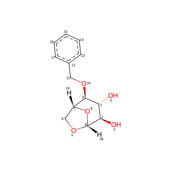 O[C@@H]1[C@@H](O)[C@@H]2OC[C@@H](O2)[C@H]1OCc1ccccc1